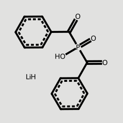 O=C(c1ccccc1)P(=O)(O)C(=O)c1ccccc1.[LiH]